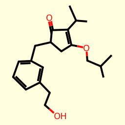 CC(C)COC1=C(C(C)C)C(=O)C(Cc2cccc(CCO)c2)C1